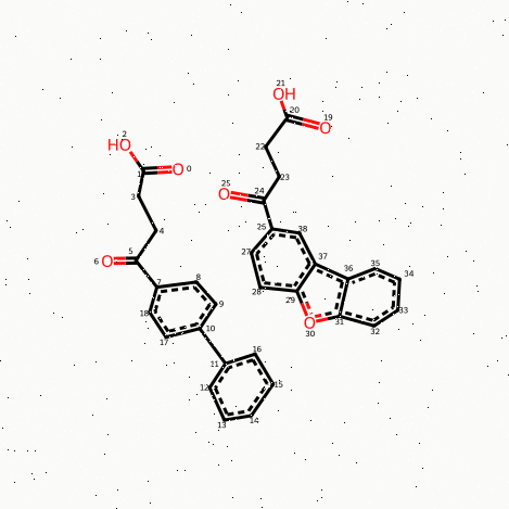 O=C(O)CCC(=O)c1ccc(-c2ccccc2)cc1.O=C(O)CCC(=O)c1ccc2oc3ccccc3c2c1